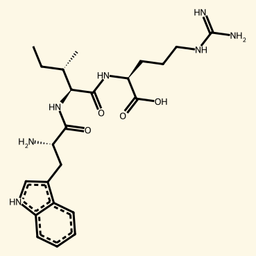 CC[C@H](C)[C@H](NC(=O)[C@@H](N)Cc1c[nH]c2ccccc12)C(=O)N[C@@H](CCCNC(=N)N)C(=O)O